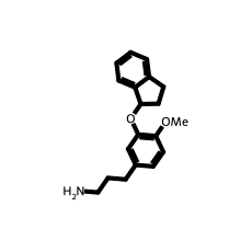 COc1ccc(CCCN)cc1OC1CCc2ccccc21